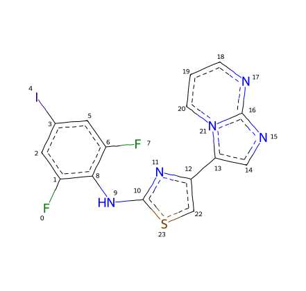 Fc1cc(I)cc(F)c1Nc1nc(-c2cnc3ncccn23)cs1